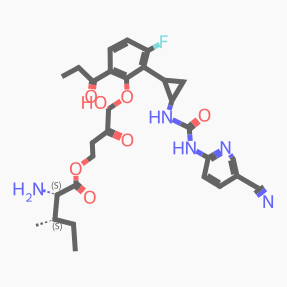 CCC(=O)c1ccc(F)c(C2CC2NC(=O)Nc2ccc(C#N)cn2)c1OC(O)C(=O)CCOC(=O)[C@@H](N)[C@@H](C)CC